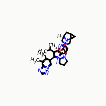 Cc1c(-c2[nH]c3ccc(N4[C@@H]5CC6CC64CN(C(=O)CN4CCCC4)C5)nc3c2C(C)C)cn2ncnc2c1C